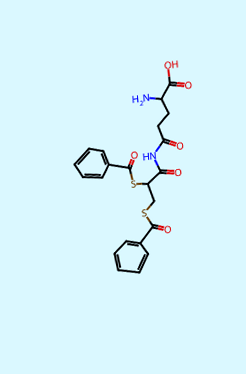 NC(CCC(=O)NC(=O)C(CSC(=O)c1ccccc1)SC(=O)c1ccccc1)C(=O)O